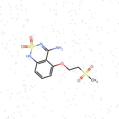 CS(=O)(=O)CCOc1cccc2c1C(N)=NS(=O)(=O)N2